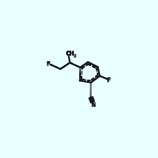 C[C](CF)c1ccc(F)c(C#N)c1